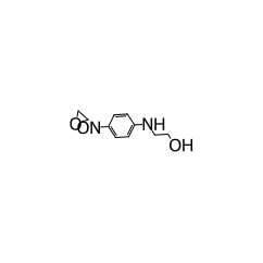 C1CO1.O=Nc1ccc(NCCO)cc1